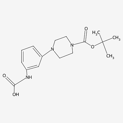 CC(C)(C)OC(=O)N1CCN(c2cccc(NC(=O)O)c2)CC1